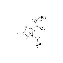 C=C1C[C@@H](COC(C)=O)N(C(=O)OC(C)(C)C)C1